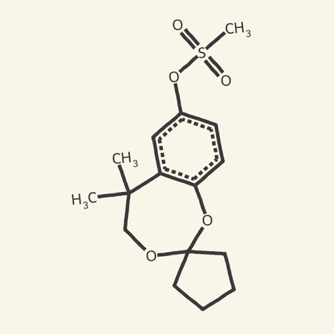 CC1(C)COC2(CCCC2)Oc2ccc(OS(C)(=O)=O)cc21